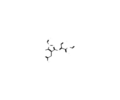 C=COC(=C)/C(C=C)=N/c1nn(C=C)c(C)c1CC(=O)O